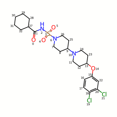 O=C(NS(=O)(=O)N1CCC(N2CCC(Oc3ccc(Cl)c(Cl)c3)CC2)CC1)C1CCCCC1